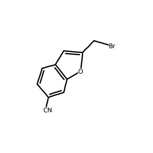 N#Cc1ccc2cc(CBr)oc2c1